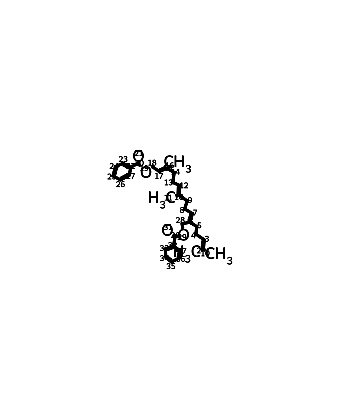 CC(C)=CCC/C(=C/CC/C(C)=C/CC/C(C)=C/COC(=O)c1ccccc1)COC(=O)c1ccccc1